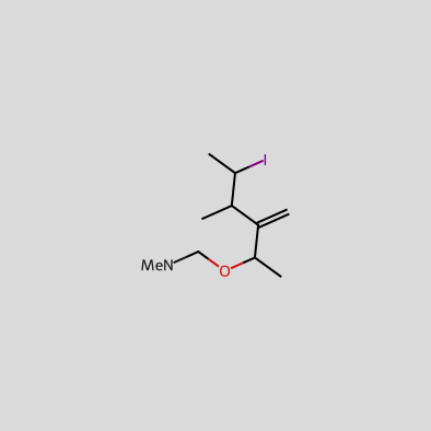 C=C(C(C)OCNC)C(C)C(C)I